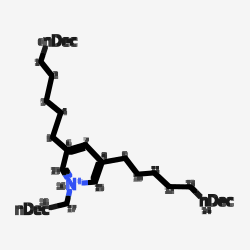 CCCCCCCCCCCCCCCc1cc(CCCCCCCCCCCCCCC)c[n+](CCCCCCCCCCC)c1